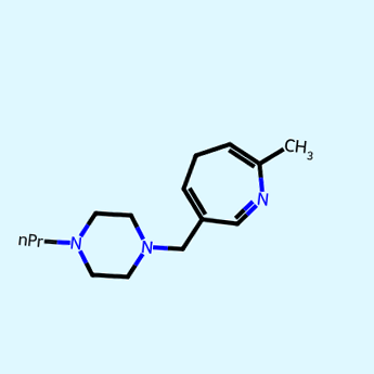 CCCN1CCN(CC2=CCC=C(C)N=C2)CC1